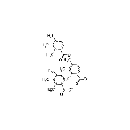 Cc1ccc(C(=O)[O-])c(C)c1C.Cc1ccc(C(=O)[O-])c(C)c1C.Cc1ccc(C(=O)[O-])c(C)c1C.[Ga+3]